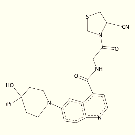 CC(C)C1(O)CCN(c2ccc3nccc(C(=O)NCC(=O)N4CSCC4C#N)c3c2)CC1